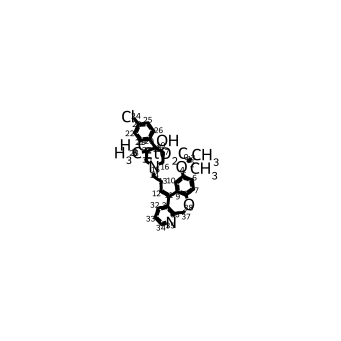 CCOC(=O)C(C)(C)Oc1ccc2c(c1)C(=CCCN1CCC(O)(c3ccc(Cl)cc3)C(C)(C)C1)c1cccnc1CO2